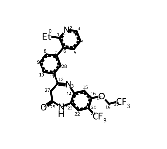 CCc1ncccc1-c1cccc(C2=Nc3cc(OCC(F)(F)F)c(C(F)(F)F)cc3NC(=O)C2)c1